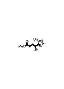 COC(=O)CCC(S)c1nnnn1C